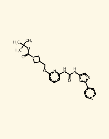 CC(C)(C)OC(=O)N1CC(COc2cccc(NC(=O)Nc3csc(-c4ccncc4)n3)n2)C1